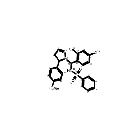 COc1ccc(C2CC=NN2C(NS(=O)(=O)c2ccccc2)c2ccc(Cl)cc2Cl)cc1